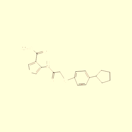 COC(=O)c1cscc1NC(=O)COc1ccc(C2CCCC2)cc1